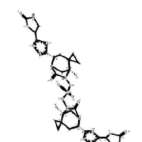 O=C1NCC(c2nnc([C@@H]3CC4(CC4)[C@@H]4CN3C(=O)N4OS(=O)(=O)ON3C(=O)N4C[C@H]3C3(CC3)C[C@H]4c3nnc(C4CNC(=O)O4)o3)o2)O1